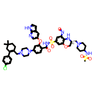 CC1(C)CCC(CN2CCN(c3ccc(C(=O)NS(=O)(=O)c4cc(N=O)c5c(c4)OC[C@@H](CN4CCC(NS(C)(=O)=O)CC4)N5)c(Oc4cnc5[nH]ccc5c4)c3)CC2)=C(c2ccc(Cl)cc2)C1